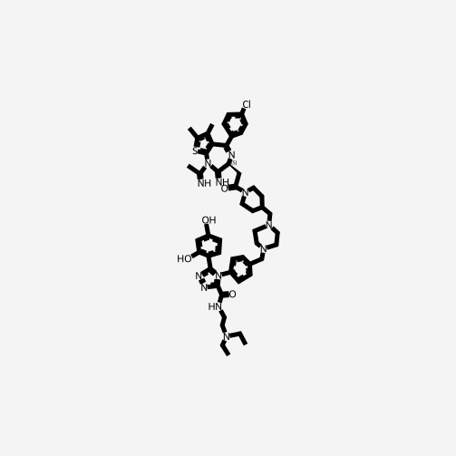 CCN(CC)CCNC(=O)c1nnc(-c2ccc(O)cc2O)n1-c1ccc(CN2CCN(CC3CCN(C(=O)C[C@@H]4N=C(c5ccc(Cl)cc5)c5c(sc(C)c5C)N(C(C)=N)C4=N)CC3)CC2)cc1